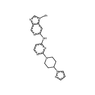 CC(C)n1cnc2cnc(Nc3ccnc(N4CCC(n5cccn5)CC4)n3)cc21